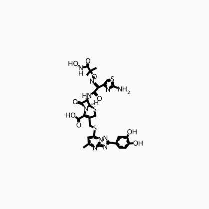 Cc1cc(SCC2=C(C(=O)O)N3C(=O)[C@@H](NC(=O)C(=NOC(C)(C)C(=O)NO)c4csc(N)n4)[C@H]3SC2)n2nc(-c3ccc(O)c(O)c3)nc2n1